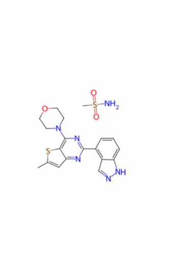 CS(N)(=O)=O.Cc1cc2nc(-c3cccc4[nH]ncc34)nc(N3CCOCC3)c2s1